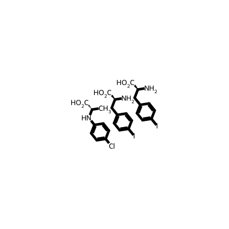 C[C@H](Nc1ccc(Cl)cc1)C(=O)O.N[C@@H](Cc1ccc(I)cc1)C(=O)O.N[C@@H](Cc1ccc(I)cc1)C(=O)O